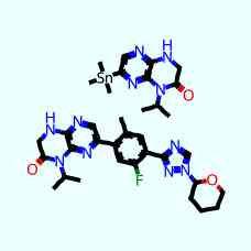 CC(C)N1C(=O)CNc2nc[c]([Sn]([CH3])([CH3])[CH3])nc21.Cc1cc(-c2ncn(C3CCCCO3)n2)c(F)cc1-c1cnc2c(n1)N(C(C)C)C(=O)CN2